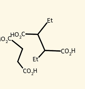 CCC(C(=O)O)C(CC)C(=O)O.O=C(O)CCC(=O)O